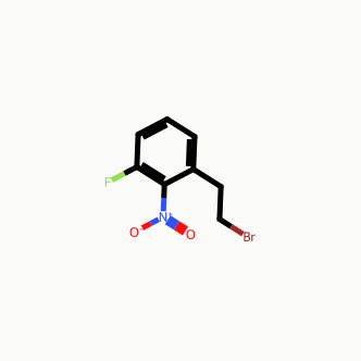 O=[N+]([O-])c1c(F)cccc1CCBr